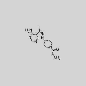 C=CC(=O)N1CCC(n2nc(I)c3c(N)ncnc32)CC1